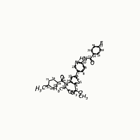 COC(=O)c1sc(-c2ccc(NC(=O)c3ccc(F)cc3)nc2)cc1N(C(=O)C1CCC(C)CC1)C(C)C